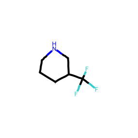 FC(F)(F)C1[CH]CCNC1